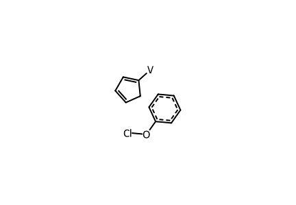 ClOc1ccccc1.[V][C]1=CC=CC1